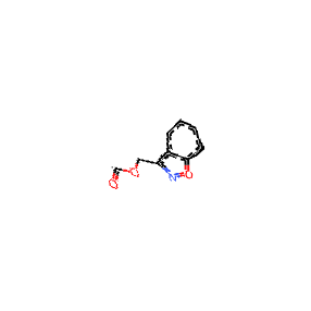 O=[C]OCc1noc2ccccc12